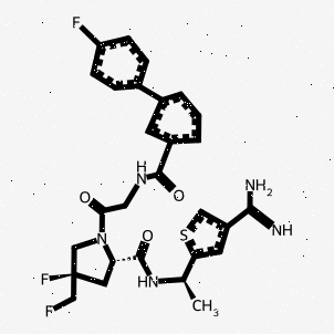 C[C@@H](NC(=O)[C@@H]1C[C@](F)(CF)CN1C(=O)CNC(=O)c1cccc(-c2ccc(F)cc2)c1)c1cc(C(=N)N)cs1